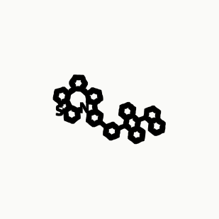 c1cc(-c2ccc3c(c2)c2cccc4c5ccccc5c5cccc6sc7cccc(c7c65)n3c42)cc(-c2c3ccccc3c(-c3cccc4ccccc34)c3ccccc23)c1